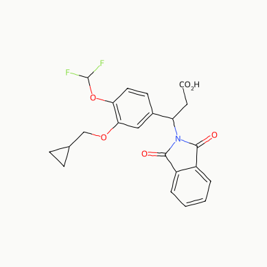 O=C(O)CC(c1ccc(OC(F)F)c(OCC2CC2)c1)N1C(=O)c2ccccc2C1=O